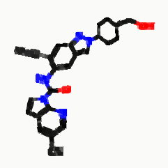 COc1cc2nn(C3CCC(CO)CC3)cc2cc1NC(=O)n1ccc2cc(C#N)cnc21